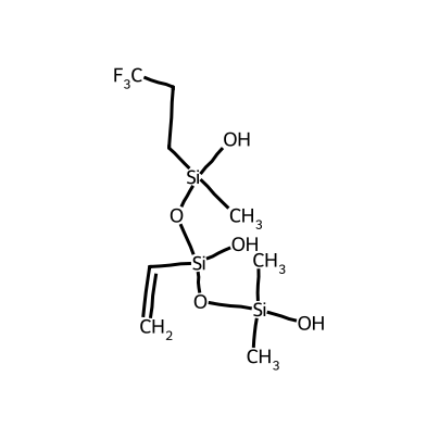 C=C[Si](O)(O[Si](C)(C)O)O[Si](C)(O)CCC(F)(F)F